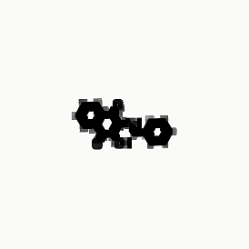 O=C1C(O)=C(NCc2ccccc2)C(=O)c2ccccc21